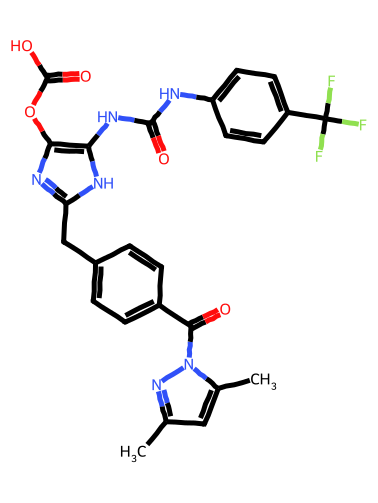 Cc1cc(C)n(C(=O)c2ccc(Cc3nc(OC(=O)O)c(NC(=O)Nc4ccc(C(F)(F)F)cc4)[nH]3)cc2)n1